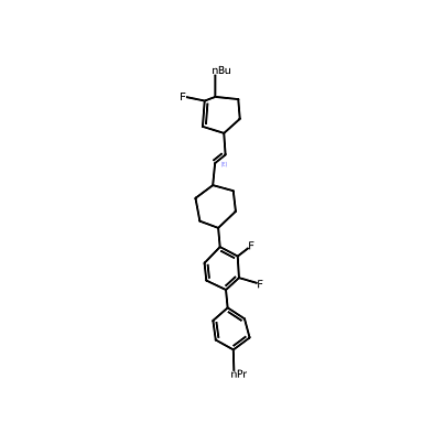 CCCCC1CCC(/C=C/C2CCC(c3ccc(-c4ccc(CCC)cc4)c(F)c3F)CC2)C=C1F